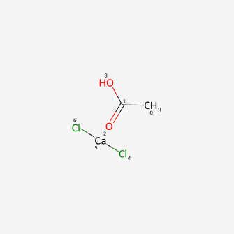 CC(=O)O.[Cl][Ca][Cl]